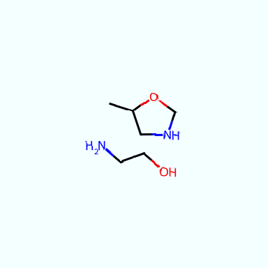 CC1CNCO1.NCCO